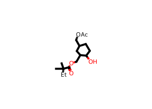 CCC(C)(C)C(=O)OCC1CC(COC(C)=O)CCC1O